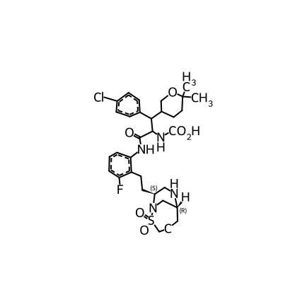 CC1(C)CCC(C(c2ccc(Cl)cc2)C(NC(=O)O)C(=O)Nc2cccc(F)c2CC[C@H]2CN[C@@H]3CCCS(=O)(=O)N2C3)CO1